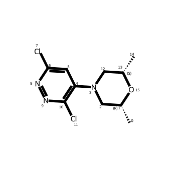 C[C@@H]1CN(c2cc(Cl)nnc2Cl)C[C@H](C)O1